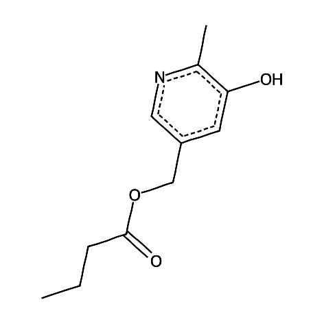 CCCC(=O)OCc1cnc(C)c(O)c1